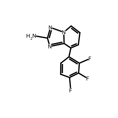 Nc1nc2c(-c3ccc(F)c(F)c3F)cccn2n1